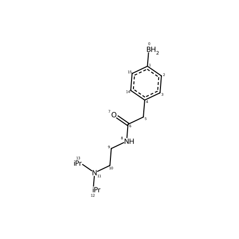 Bc1ccc(CC(=O)NCCN(C(C)C)C(C)C)cc1